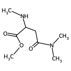 CNC(CC(=O)N(C)C)C(=O)OC